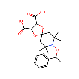 CC(ON1C(C)(C)CC2(CC1(C)C)OC(C(=O)O)C(C(=O)O)O2)c1ccccc1